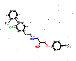 O=[N+]([O-])c1ccc(OCC(O)CNCCc2ccc(-c3ccccc3C(F)(F)F)c(Cl)c2)cc1